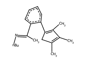 CCCC/N=C(\C)c1ccccc1C1=C(C)C(C)=C(C)C1